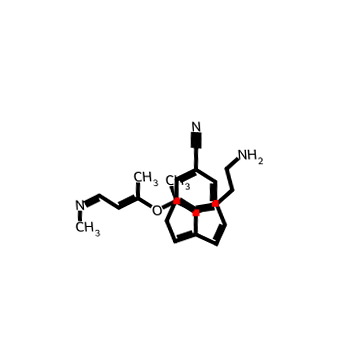 C/N=C\C=C(/C)Oc1cc(C#N)ccc1C1=C\C[C@@H](C)/C=C(CCN)/C=C\1